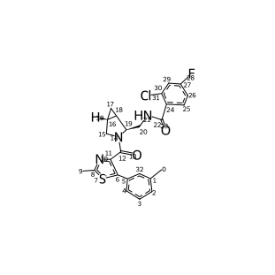 Cc1cccc(-c2sc(C)nc2C(=O)N2C[C@@H]3CC3[C@H]2CNC(=O)c2ccc(F)cc2Cl)c1